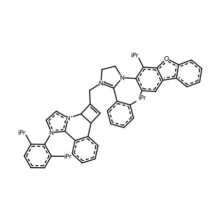 Cc1ccccc1C1=[N+](CC2=CC3c4ccccc4-c4n(-c5c(C(C)C)cccc5C(C)C)cc[n+]4C23)CCN1c1c(C(C)C)cc2c(oc3ccccc32)c1C(C)C